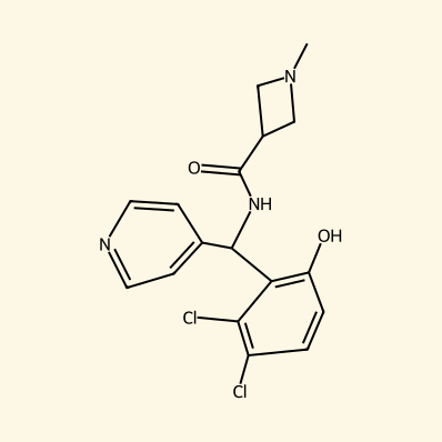 CN1CC(C(=O)NC(c2ccncc2)c2c(O)ccc(Cl)c2Cl)C1